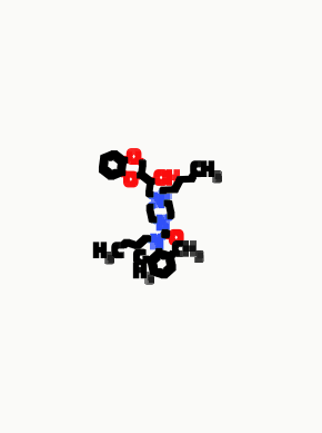 CCCCC[N+]1(CC(O)C2COc3ccccc3O2)CCN(C(=O)N(CCCC)c2c(C)cccc2C)CC1